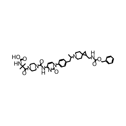 CC(Cc1ccc(-n2ccc(NC(=O)N3CCN(C(=O)C(C)(C)NC(=O)O)CC3)nc2=O)cc1)N1CCC2(CC1)CC2CNC(=O)OCc1ccccc1